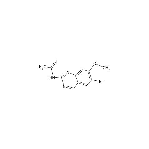 COc1cc2nc(NC(C)=O)ncc2cc1Br